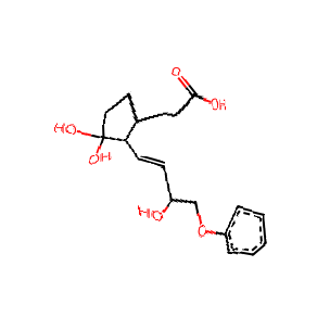 O=C(O)CC1CCC(O)(O)C1C=CC(O)COc1ccccc1